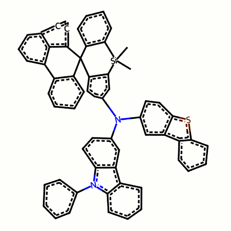 C[Si]1(C)c2ccccc2C2(c3ccccc3-c3cccc4cccc2c34)c2ccc(N(c3ccc4sc5ccccc5c4c3)c3ccc4c(c3)c3ccccc3n4-c3ccccc3)cc21